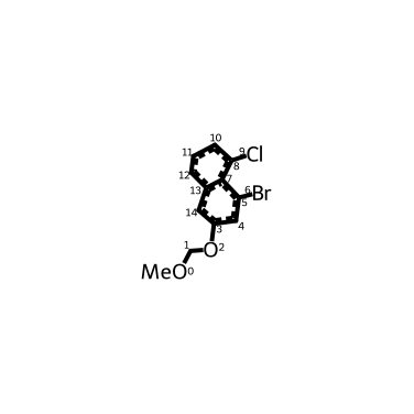 COCOc1cc(Br)c2c(Cl)cccc2c1